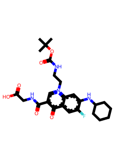 CC(C)(C)OC(=O)NCCn1cc(C(=O)NCC(=O)O)c(=O)c2cc(F)c(NC3CCCCC3)cc21